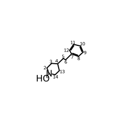 ON1CCC(CCc2ccccc2)CC1